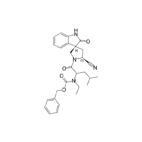 CCN(C(=O)OCc1ccccc1)C(CC(C)C)C(=O)N1C[C@]2(C[C@H]1C#N)C(=O)Nc1ccccc12